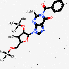 CC(=O)Nc1nc2c(ncn2C2OC(CO[Si](C)(C)C(C)(C)C)C(OC(C)=O)C2O[Si](C)(C)C(C)(C)C)c(=O)n1C(=O)c1ccccc1